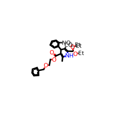 CCOC(=O)C1=C(C(OCC)OCC)NC(C)=C(C(=O)OCCOCc2ccccc2)C1c1ccccc1[N+](=O)[O-]